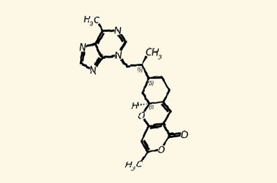 Cc1cc2c(c(=O)o1)C=C1CC[C@H]([C@H](C)Cn3cnc(C)c4ncnc3-4)C[C@@H]1O2